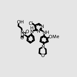 COc1cc(N2CCOCC2)ccc1Nc1ncc(Cl)c(Nc2ccccc2S(=O)(=O)NCCO)n1